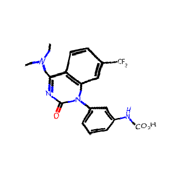 CN(C)c1nc(=O)n(-c2cccc(NC(=O)O)c2)c2cc(C(F)(F)F)ccc12